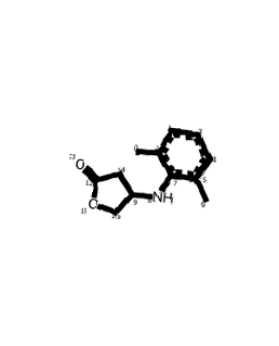 Cc1cccc(C)c1NC1COC(=O)C1